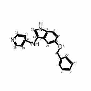 c1ccc(COc2ccc3[nH]cc(Nc4ccncc4)c3c2)cc1